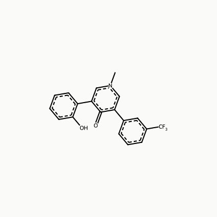 Cn1cc(-c2cccc(C(F)(F)F)c2)c(=O)c(-c2ccccc2O)c1